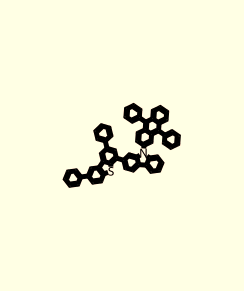 c1ccc(-c2ccc3sc4c(-c5ccc6c7ccccc7n(-c7ccc8c(-c9ccccc9)c9ccccc9c(-c9ccccc9)c8c7)c6c5)cc(-c5ccccc5)cc4c3c2)cc1